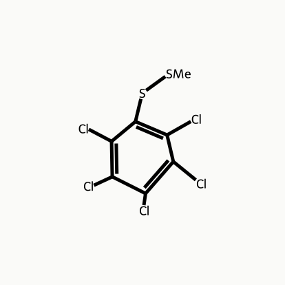 CSSc1c(Cl)c(Cl)c(Cl)c(Cl)c1Cl